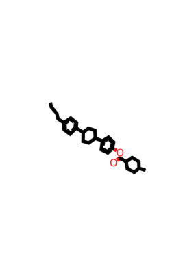 CCCCc1ccc(C2CCC(c3ccc(OC(=O)C4CCC(C)CC4)cc3)CC2)cc1